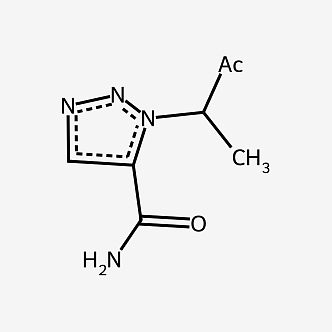 CC(=O)C(C)n1nncc1C(N)=O